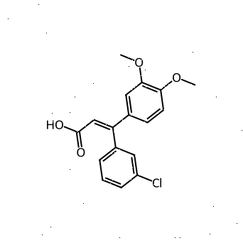 COc1ccc(C(=CC(=O)O)c2cccc(Cl)c2)cc1OC